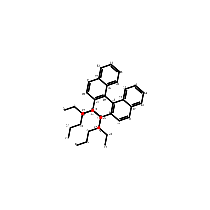 CCCCP(CCCC)c1ccc2ccccc2c1-c1c(P(CCCC)CCCC)ccc2ccccc12